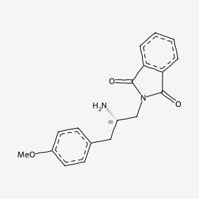 COc1ccc(C[C@H](N)CN2C(=O)c3ccccc3C2=O)cc1